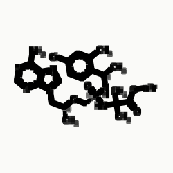 CCCOC(=O)C(C)(C)N[P@](=O)(CO[C@H](C)Cn1cnc2c(N)ncnc21)N[C@H](C)c1ccc(Cl)cc1C